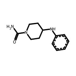 NC(=O)N1CCC(Nc2ccccc2)CC1